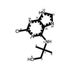 CC(C)(CO)Nc1nc(Cl)nc2[nH]cnc12